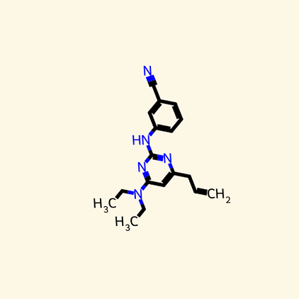 C=CCc1cc(N(CC)CC)nc(Nc2cccc(C#N)c2)n1